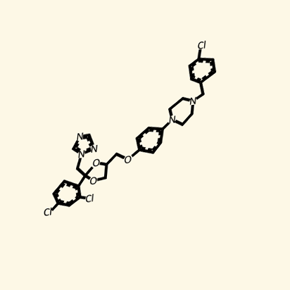 Clc1ccc(CN2CCN(c3ccc(OCC4COC(Cn5cncn5)(c5ccc(Cl)cc5Cl)O4)cc3)CC2)cc1